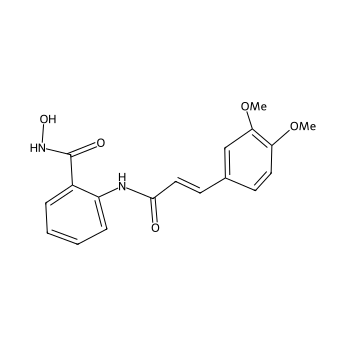 COc1ccc(C=CC(=O)Nc2ccccc2C(=O)NO)cc1OC